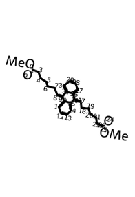 COC(=O)CCCCCC=c1c2ccccc2c(=CCCCCCC(=O)OC)c2ccccc12